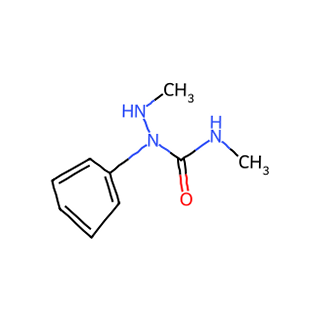 CNC(=O)N(NC)c1ccccc1